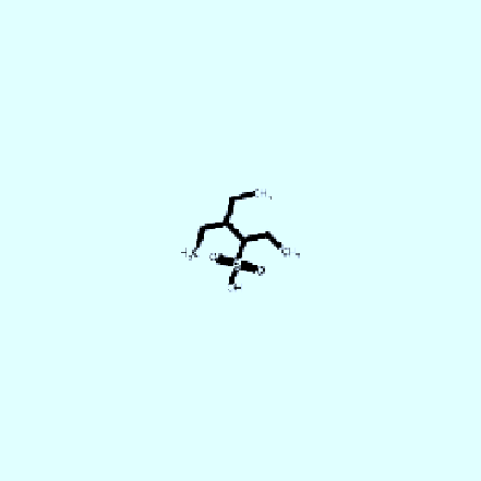 CCC(CC)C(CC)S(=O)(=O)O